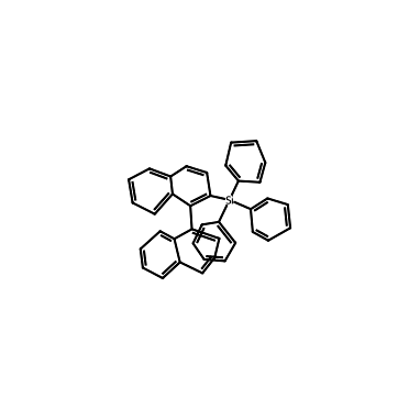 c1ccc([Si](c2ccccc2)(c2ccccc2)c2ccc3ccccc3c2-c2cccc3ccccc23)cc1